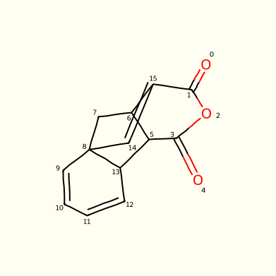 O=C1OC(=O)C2C3CC4(C=CC=CC24)C=C13